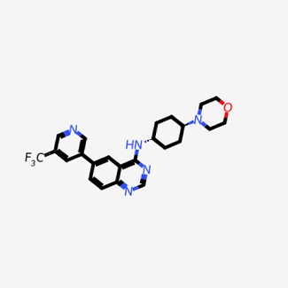 FC(F)(F)c1cncc(-c2ccc3ncnc(N[C@H]4CC[C@H](N5CCOCC5)CC4)c3c2)c1